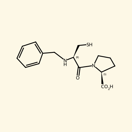 O=C(O)[C@@H]1CCCN1C(=O)[C@H](CS)NCc1ccccc1